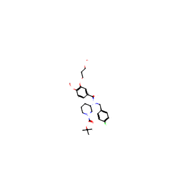 COCCCOc1cc(C(=O)N(Cc2ccc(Cl)cc2)[C@@H]2CCCN(C(=O)OC(C)(C)C)C2)ccc1OC